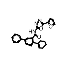 O=C(Nc1nnc(-c2ccco2)o1)c1cc(-c2ccccc2)ccc1C1=CCCCC1